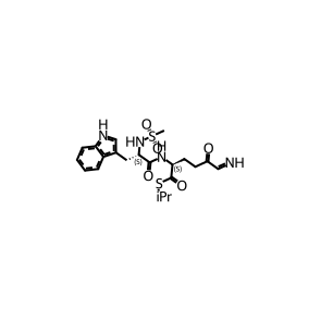 CC(C)SC(=O)[C@H](CCC(=O)C=N)NC(=O)[C@H](Cc1c[nH]c2ccccc12)NS(C)(=O)=O